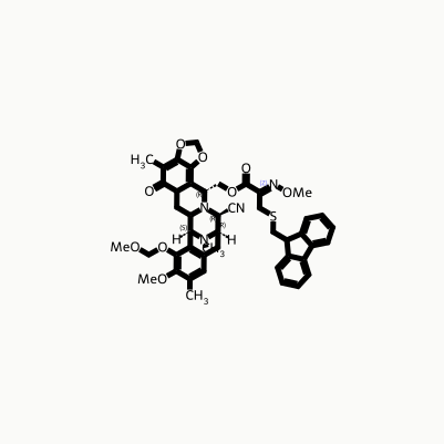 COCOc1c(OC)c(C)cc2c1[C@H]1C3CC4C(=O)C(C)=C5OCOC5=C4[C@H](COC(=O)/C(CSCC4c5ccccc5-c5ccccc54)=N/OC)N3[C@@H](C#N)[C@@H](C2)N1C